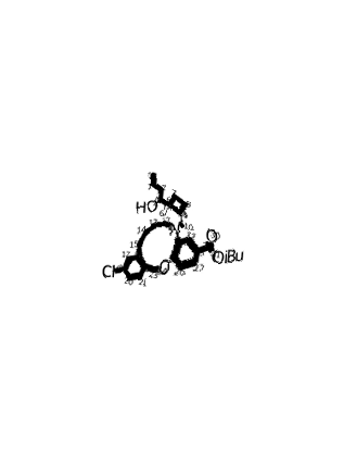 C=CC[C@@H](O)[C@@]1(C)CC[C@@H]1CN1CCCCc2cc(Cl)ccc2COc2ccc(C(=O)OCC(C)C)cc21